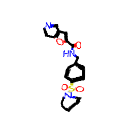 O=C(NCc1ccc(S(=O)(=O)N2CCCCC2)cc1)c1cc2cnccc2o1